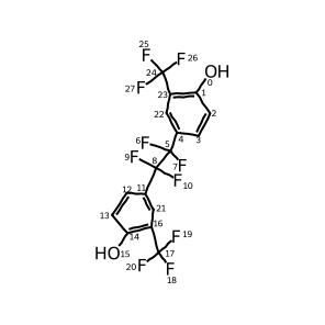 Oc1ccc(C(F)(F)C(F)(F)c2ccc(O)c(C(F)(F)F)c2)cc1C(F)(F)F